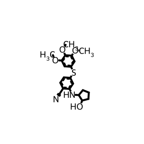 COc1cc(Sc2ccc(C#N)c(NC3CCCC3O)c2)cc(OC)c1OC